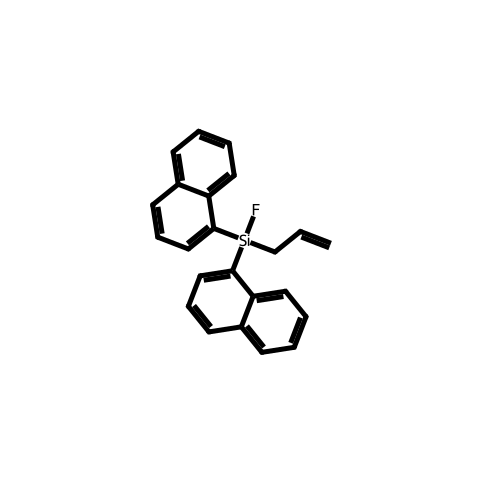 C=CC[Si](F)(c1cccc2ccccc12)c1cccc2ccccc12